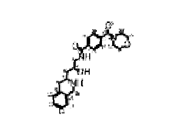 O=C(NCC(O)CC1Cc2ccccc2CN1)c1ccc(C(=O)N2CCOCC2)cc1